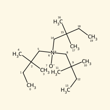 CCC(C)(C)C[N+]([O-])(CC(C)(C)CC)CC(C)(C)CC